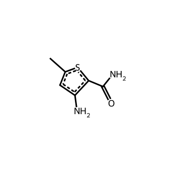 Cc1cc(N)c(C(N)=O)s1